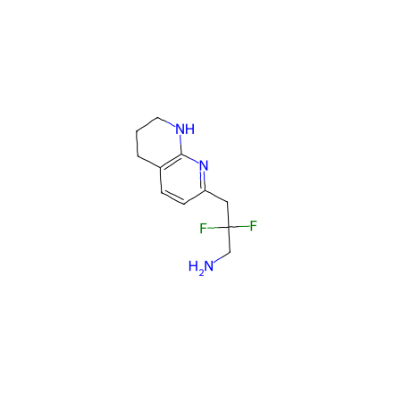 NCC(F)(F)Cc1ccc2c(n1)NCCC2